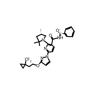 C[C@@H]1CN(c2nc(-n3ccc(OCCC4(C(F)(F)F)CC4)n3)ccc2C(=O)N[S+]([O-])c2ccccc2)C(C)(C)C1